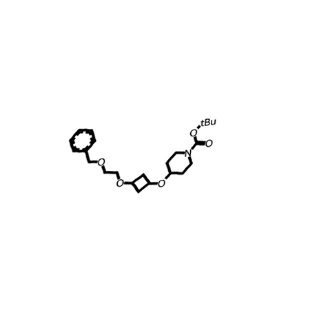 CC(C)(C)OC(=O)N1CCC(OC2CC(OCCOCc3ccccc3)C2)CC1